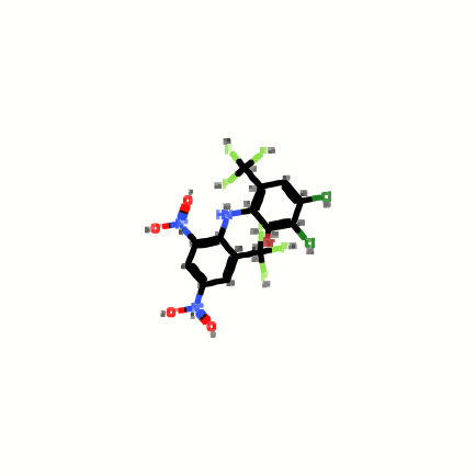 O=[N+]([O-])c1cc([N+](=O)[O-])c(Nc2c(C(F)(F)F)cc(Cl)c(Cl)c2Br)c(C(F)(F)F)c1